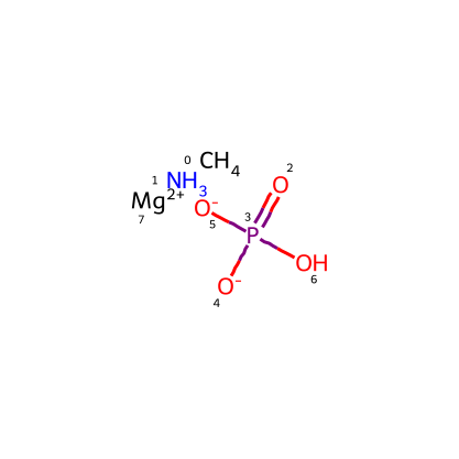 C.N.O=P([O-])([O-])O.[Mg+2]